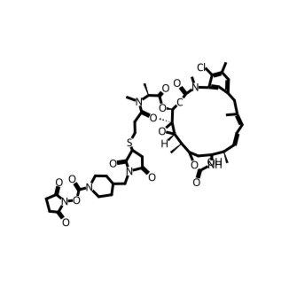 C/C1=C\C=C\[C@@H](C)[C@@]2(O)CC(OC(=O)N2)[C@@H](C)[C@@H]2O[C@@]2(C)[C@@H](OC(=O)[C@H](C)N(C)C(=O)CCSC2CC(=O)N(CC3CCN(C(=O)ON4C(=O)CCC4=O)CC3)C2=O)CC(=O)N(C)c2cc(cc(C)c2Cl)C1